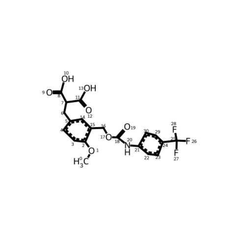 COc1ccc(CC(C(=O)O)C(=O)O)cc1COC(=O)Nc1ccc(C(F)(F)F)cc1